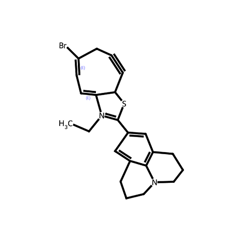 CC[N+]1=C(c2cc3c4c(c2)CCCN4CCC3)SC2C#CC/C(Br)=C\C=C/21